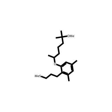 COC(C)(C)CCCC(C)Oc1cc(C)cc(C)c1CCCSC